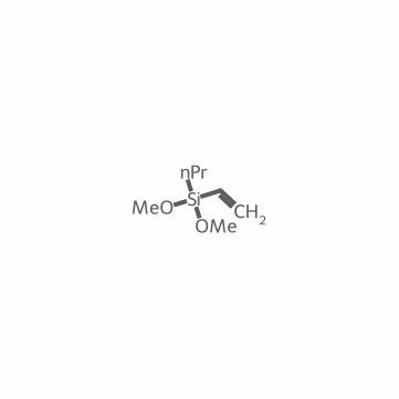 C=C[Si](CCC)(OC)OC